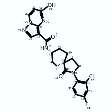 O=C(N[C@H]1CC[C@@]2(CCN(c3ccc(F)cc3Cl)C2=O)CC1)c1cnn2ccc(O)nc12